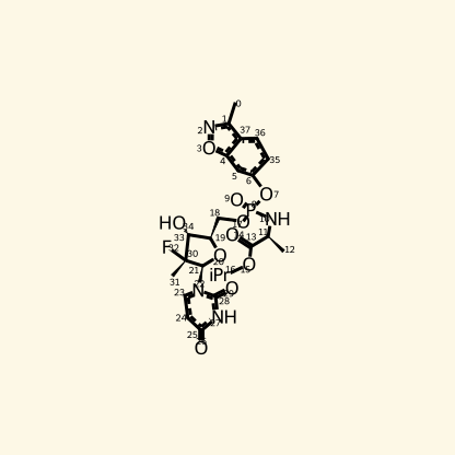 Cc1noc2cc(OP(=O)(N[C@@H](C)C(=O)OC(C)C)OC[C@H]3O[C@@H](n4ccc(=O)[nH]c4=O)[C@](C)(F)[C@@H]3O)ccc12